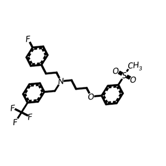 CS(=O)(=O)c1cccc(OCCCN(CCc2ccc(F)cc2)Cc2cccc(C(F)(F)F)c2)c1